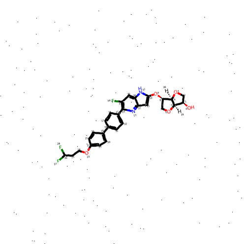 O[C@@H]1CO[C@H]2[C@@H]1OC[C@H]2Oc1cc2nc(-c3ccc(-c4ccc(OCCC(F)F)cc4)cc3)c(F)cc2[nH]1